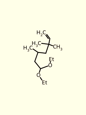 C=CC(C)(C)CC(C)CC(OCC)OCC